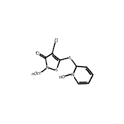 CCCCCCCCn1sc(SC2C=CC=CN2O)c(Cl)c1=O